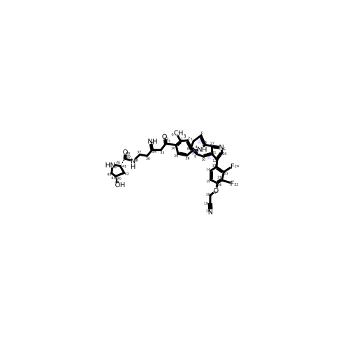 Cc1cc(N/C2=C\C/C=C\C=C3\C(c4ccc(OCC#N)c(F)c4F)=CN=C23)ccc1C(=O)CC(=N)CCNC(=O)[C@@H]1C[C@@H](O)CN1